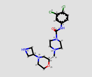 O=C(Nc1ccc(Cl)c(Cl)c1)N1CCN(C[C@H]2CN(C3CNC3)CCO2)CC1